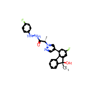 C[C@@H](C(=O)NNc1ccc(F)cc1)n1cc(-c2cc(F)cc3c2-c2ccccc2[C@]3(O)C(F)(F)F)cn1